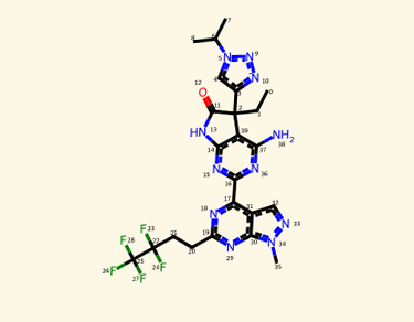 CCC1(c2cn(C(C)C)nn2)C(=O)Nc2nc(-c3nc(CCC(F)(F)C(F)(F)F)nc4c3cnn4C)nc(N)c21